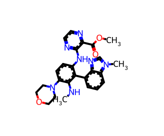 CNc1c(N2CCOCC2)ccc(Nc2nccnc2C(=O)OC)c1-c1cccc2c1ncn2C